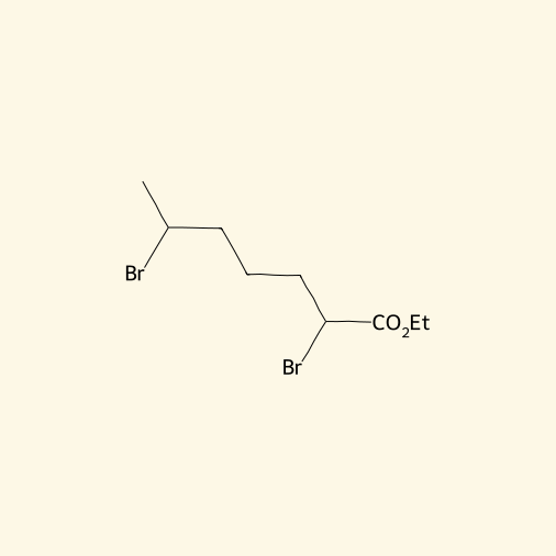 CCOC(=O)C(Br)CCCC(C)Br